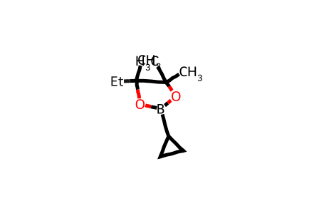 CCC1(C)OB(C2CC2)OC1(C)C